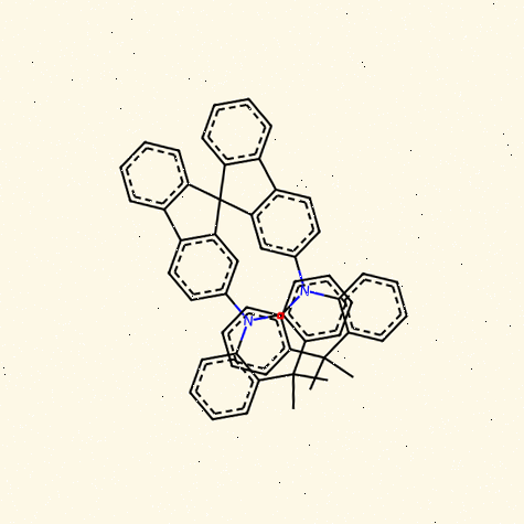 CC1(C)c2ccccc2N(c2ccc3c(c2)C2(c4ccccc4-3)c3ccccc3-c3ccc(N4c5ccccc5C(C)(C)c5ccccc54)cc32)c2ccccc21